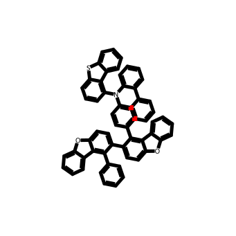 c1ccc(-c2ccccc2N(c2ccc(-c3c(-c4ccc5oc6ccccc6c5c4-c4ccccc4)ccc4oc5ccccc5c34)cc2)c2cccc3sc4ccccc4c23)cc1